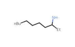 CCCCCCCCC([NH])CC